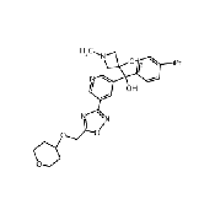 CC(C)c1ccc(C(O)(c2cncc(-c3noc(COC4CCOCC4)n3)c2)C2(C)CN(C)C2)cc1